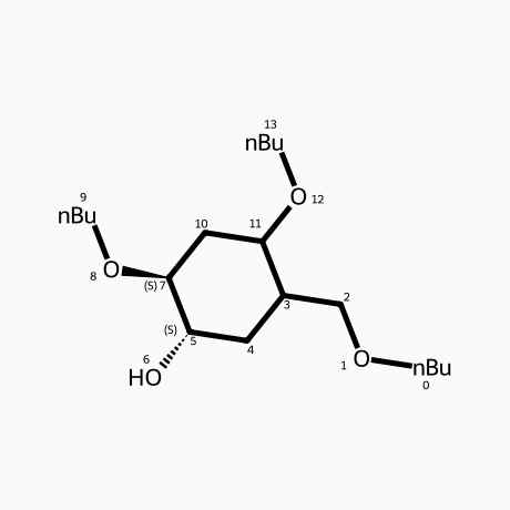 CCCCOCC1C[C@H](O)[C@@H](OCCCC)CC1OCCCC